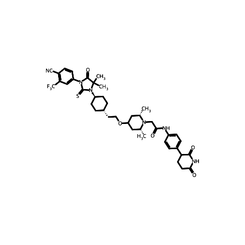 C[C@@H]1CC(OCC[C@H]2CC[C@H](N3C(=S)N(c4ccc(C#N)c(C(F)(F)F)c4)C(=O)C3(C)C)CC2)C[C@H](C)N1CC(=O)Nc1ccc(C2CCC(=O)NC2=O)cc1